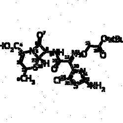 CC1C=C(C(=O)O)N2C(=O)C(NC(=O)C(=NOCC(=O)OC(C)(C)C)c3nc(N)sc3Cl)[C@@H]2S1